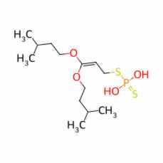 CC(C)CCOC(=CCSP(O)(O)=S)OCCC(C)C